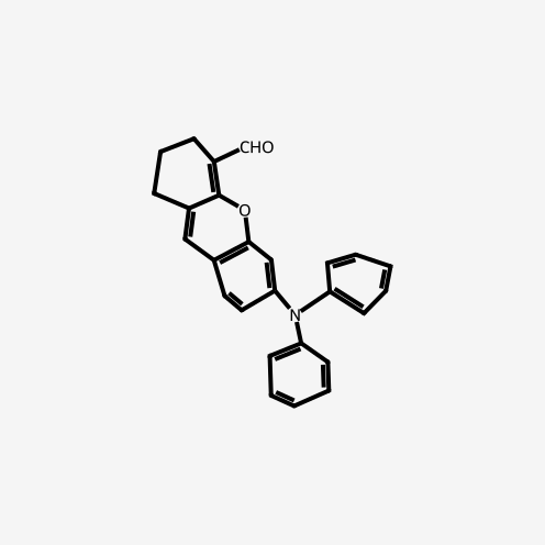 O=CC1=C2Oc3cc(N(c4ccccc4)c4ccccc4)ccc3C=C2CCC1